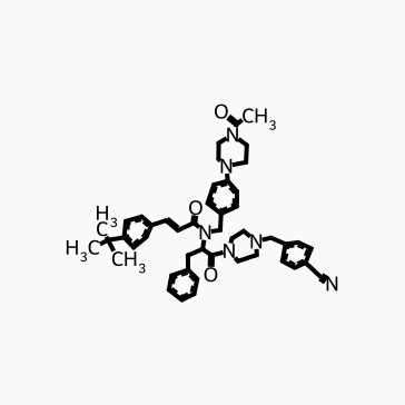 CC(=O)N1CCN(c2ccc(CN(C(=O)C=Cc3ccc(C(C)(C)C)cc3)C(Cc3ccccc3)C(=O)N3CCN(Cc4ccc(C#N)cc4)CC3)cc2)CC1